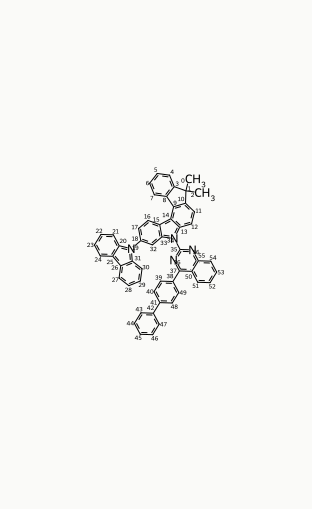 CC1(C)c2ccccc2-c2c1ccc1c2c2ccc(-n3c4ccccc4c4ccccc43)cc2n1-c1nc(-c2ccc(-c3ccccc3)cc2)c2ccccc2n1